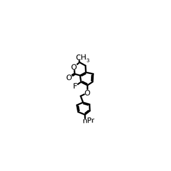 CCCc1ccc(COc2ccc3c(c2F)C(=O)OC(C)C3)cc1